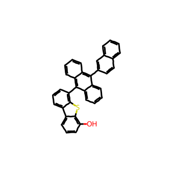 Oc1cccc2c1sc1c(-c3c4ccccc4c(-c4ccc5ccccc5c4)c4ccccc34)cccc12